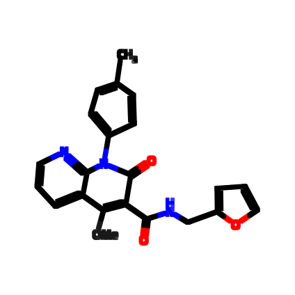 COc1c(C(=O)NCc2ccco2)c(=O)n(-c2ccc(C)cc2)c2ncccc12